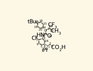 CC(C)C(CC(=O)O)c1ccc(Cl)c(NC(=O)[C@H](c2ccc(C(C)(C)C)cc2)[C@@H](C)C(F)(F)F)c1